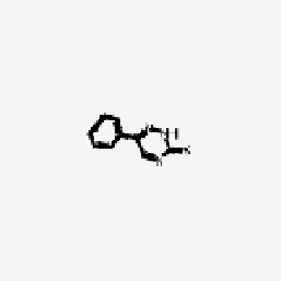 S=c1ncc(-c2ccccc2)n[nH]1